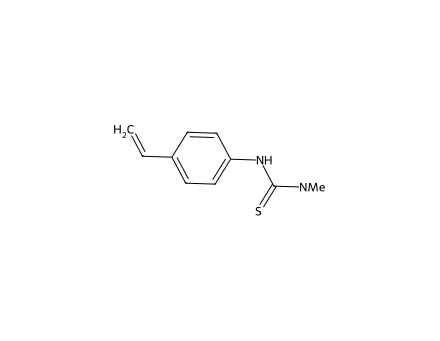 C=Cc1ccc(NC(=S)NC)cc1